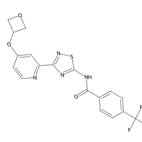 O=C(Nc1nc(-c2cc(OC3COC3)ccn2)ns1)c1ccc(C(F)(F)F)cc1